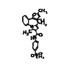 Cc1ccc(-c2ccccc2-n2c(C)cc(C(=O)Nc3ccc(S(C)(=O)=O)cc3)c2C)o1